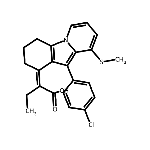 CC/C(C(=O)O)=C1\CCCc2c1c(-c1ccc(Cl)cc1)c1c(SC)cccn21